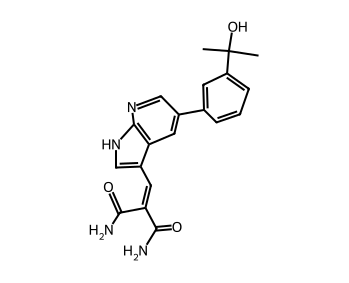 CC(C)(O)c1cccc(-c2cnc3[nH]cc(C=C(C(N)=O)C(N)=O)c3c2)c1